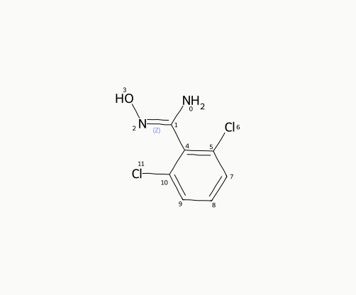 N/C(=N\O)c1c(Cl)cccc1Cl